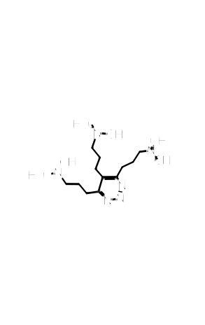 CN(C)CCCc1nnnc(CCCN(C)C)c1CCCN(C)C